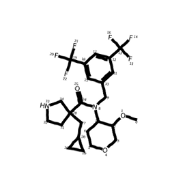 COC1COCCC1N(Cc1cc(C(F)(F)F)cc(C(F)(F)F)c1)C(=O)C1(CC2CC2)CCNC1